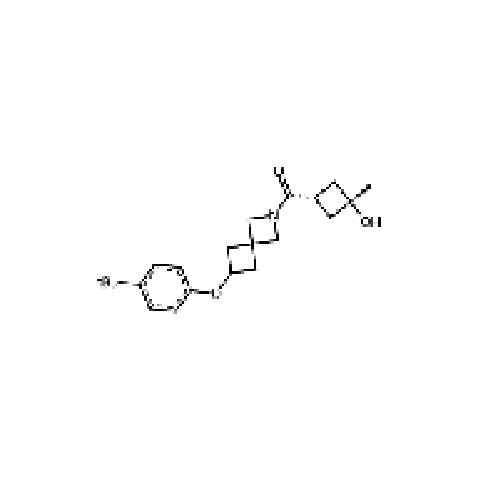 CC(C)(C)c1ccc(OC2CC3(C2)CN(C(=O)[C@H]2C[C@@](C)(O)C2)C3)cc1